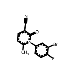 Cc1ccc(C#N)c(=O)n1-c1ccc(F)c(Br)c1